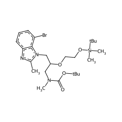 Cc1nc2cccc(Br)c2n1CC(CN(C)C(=O)OC(C)(C)C)OCCO[Si](C)(C)C(C)(C)C